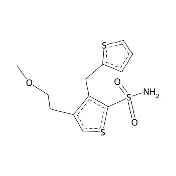 COCCc1csc(S(N)(=O)=O)c1Cc1cccs1